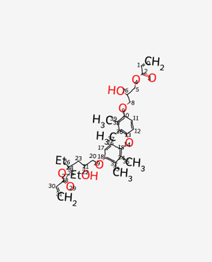 C=CC(=O)OCC(O)COc1ccc(Oc2ccc(OCC(O)CC(CC)(CC)OC(=O)C=C)c(C)c2C)c(C)c1C